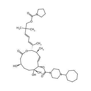 C/C(=C\C=C\C(C)(C)COC(=O)N1CCCC1)[C@H]1OC(=O)C[C@H](O)CC[C@@](C)(O)[C@H](OC(=O)N2CCN(C3CCCCCC3)CC2)/C=C/[C@@H]1C